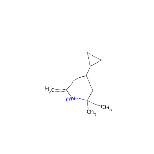 C=C1CC(C2CC2)CC(C)(C)N1